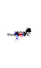 [C-]#[N+]C(=C1CCN(C(=O)C(=O)c2c[nH]c3c(OC)ncc(OC)c23)CC1)c1csc2ccccc12